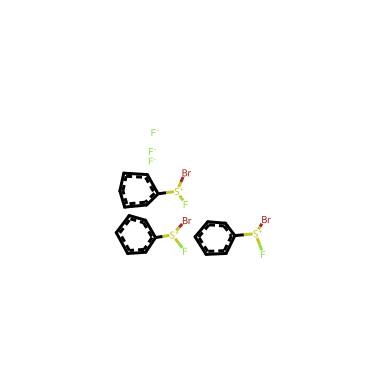 F[S+](Br)c1ccccc1.F[S+](Br)c1ccccc1.F[S+](Br)c1ccccc1.[F-].[F-].[F-]